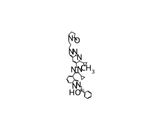 Cn1c(-c2cc3cn(CCCN4CCCC4=O)nc3nc2C2CC2)nc(-c2cccc3nn(C[C@H](O)c4ccccc4)cc23)c1C1CC1